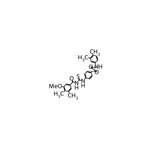 COc1cc(C(=O)NC(=S)Nc2ccc(S(=O)(=O)Nc3ccc(C)c(C)c3)cc2)cc(C)c1C